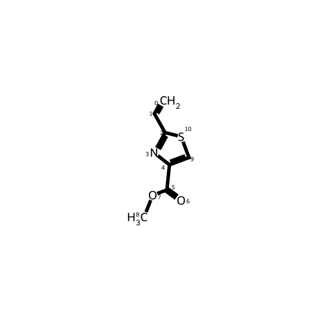 C=Cc1nc(C(=O)OC)cs1